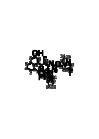 C#Cc1cccc2cc(O)cc(-c3nc(C(F)F)c4c(N5CC6CCC(C5)N6)nc(OC[C@]56CCCN5C[C@H](F)C6)nc4c3F)c12